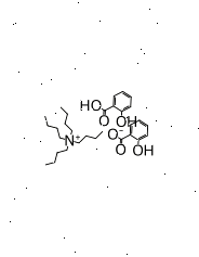 CCCC[N+](CCCC)(CCCC)CCCC.O=C(O)c1ccccc1O.O=C([O-])c1ccccc1O